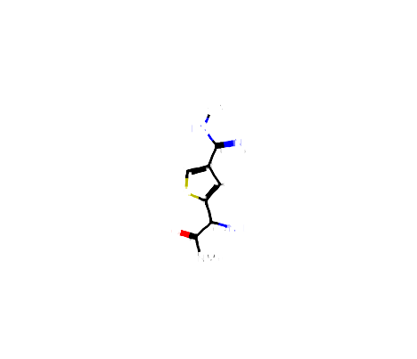 CNC(=O)C(N)c1cc(C(=N)NOC(C)=O)cs1